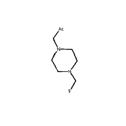 CC(=O)CN1CCN(CF)CC1